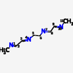 C/N=C/C=N/CC/N=C/C=N/C